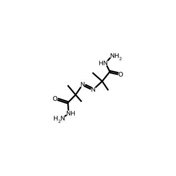 CC(C)(/N=N/C(C)(C)C(=O)NN)C(=O)NN